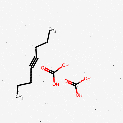 CCCC#CCCC.O=C(O)O.O=C(O)O